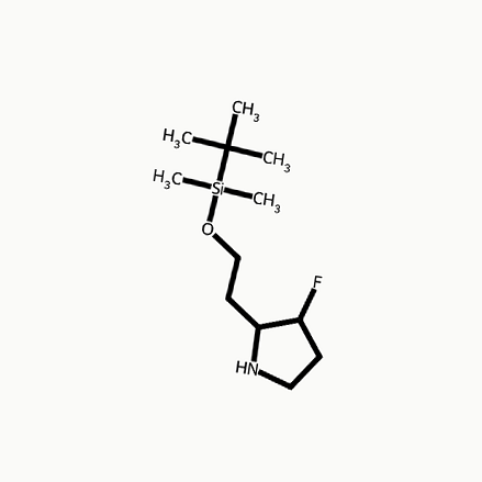 CC(C)(C)[Si](C)(C)OCCC1NCCC1F